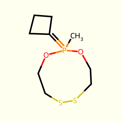 CP1(=C2CCC2)OCCSSCCO1